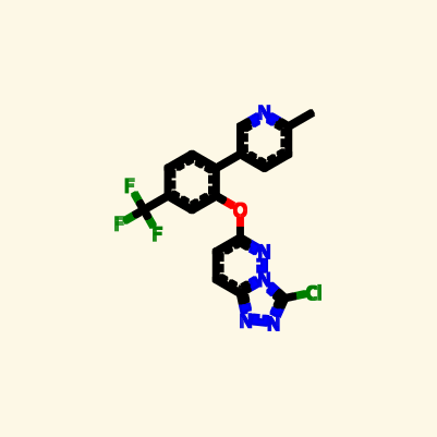 Cc1ccc(-c2ccc(C(F)(F)F)cc2Oc2ccc3nnc(Cl)n3n2)cn1